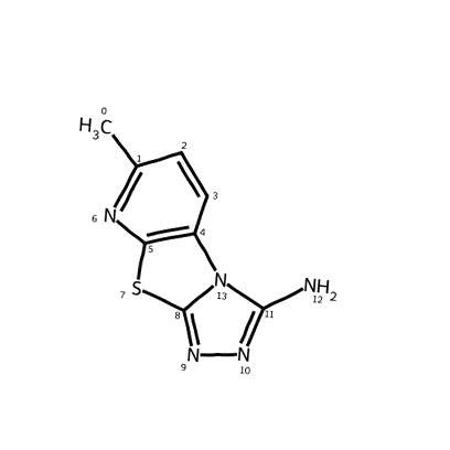 Cc1ccc2c(n1)sc1nnc(N)n12